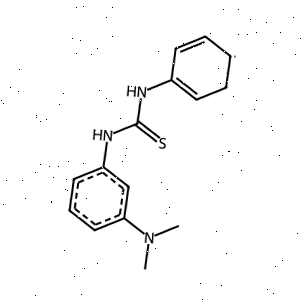 CN(C)c1cccc(NC(=S)NC2=CC[CH]C=C2)c1